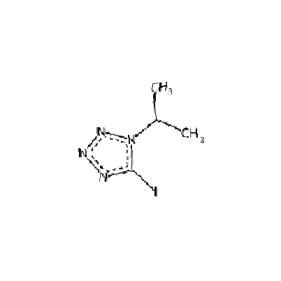 CC(C)n1nnnc1I